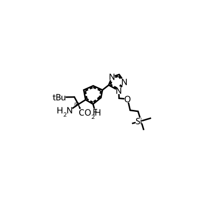 CC(C)(C)C[C@](N)(C(=O)O)c1ccc(-c2ncnn2COCC[Si](C)(C)C)cc1F